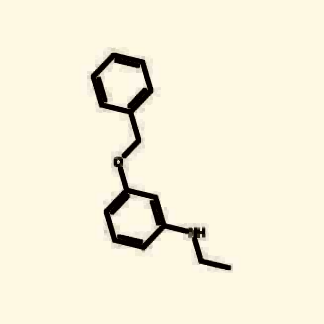 CCNc1[c]ccc(OCc2ccccc2)c1